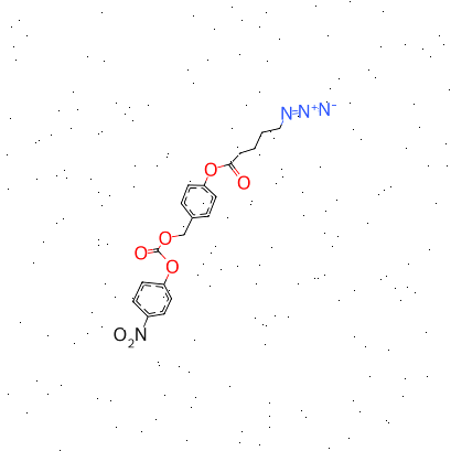 [N-]=[N+]=NCCCCC(=O)Oc1ccc(COC(=O)Oc2ccc([N+](=O)[O-])cc2)cc1